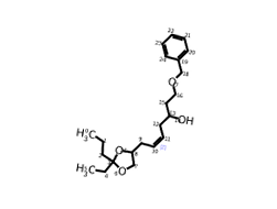 CCCC1(CC)OCC(C/C=C\CC(O)CCOCc2ccccc2)O1